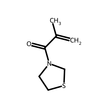 C=C(C)C(=O)N1CCSC1